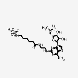 CN(C)C[C@H]1OC(n2cnc3c(N)nc(NCCNC(=O)CCCCCNS(C)(=O)=O)nc32)[C@H](O)[C@@H]1O